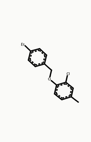 CCc1ccc(COc2ccc(C)cc2Cl)cc1